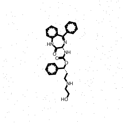 O=C(N[C@H]1N=C(c2ccccc2)c2ccccc2NC1=O)O[C@H](CCNCCO)c1ccccc1